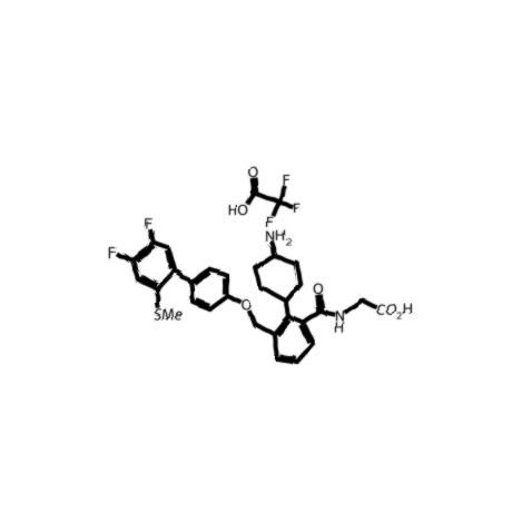 CSc1cc(F)c(F)cc1-c1ccc(OCc2cccc(C(=O)NCC(=O)O)c2C2CCC(N)CC2)cc1.O=C(O)C(F)(F)F